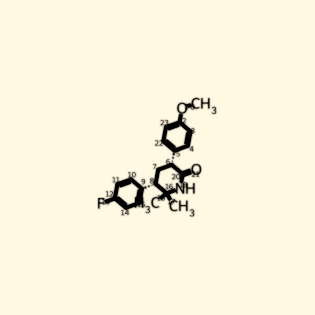 COc1ccc([C@H]2C[C@@H](c3ccc(F)cc3)C(C)(C)NC2=O)cc1